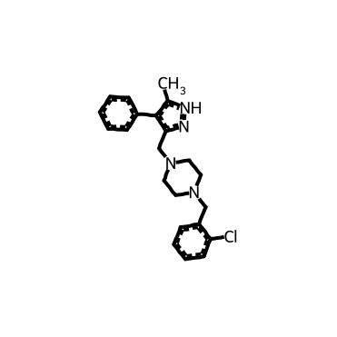 Cc1[nH]nc(CN2CCN(Cc3ccccc3Cl)CC2)c1-c1ccccc1